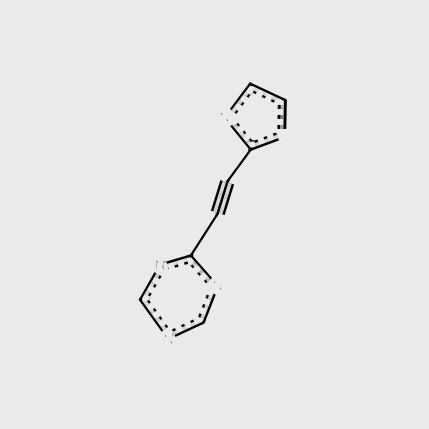 C(#Cc1nccs1)c1ncncn1